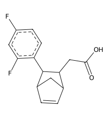 O=C(O)CC1C2C=CC(C2)C1c1ccc(F)cc1F